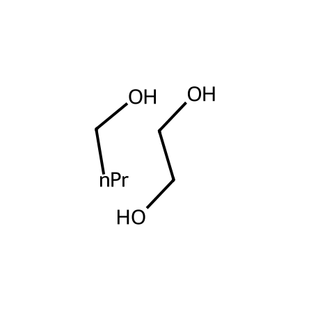 OCCO.[CH2]CCCO